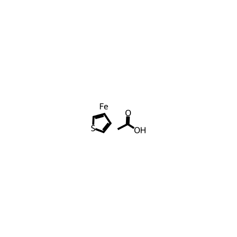 CC(=O)O.[Fe].c1ccsc1